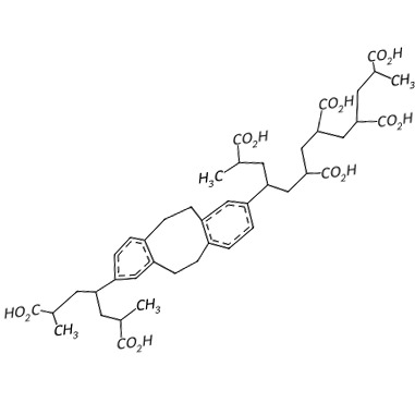 CC(CC(CC(CC(CC(CC(C)C(=O)O)c1ccc2c(c1)CCc1ccc(C(CC(C)C(=O)O)CC(C)C(=O)O)cc1CC2)C(=O)O)C(=O)O)C(=O)O)C(=O)O